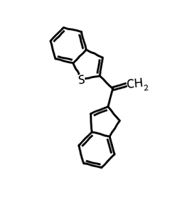 C=C(C1=Cc2ccccc2C1)c1cc2ccccc2s1